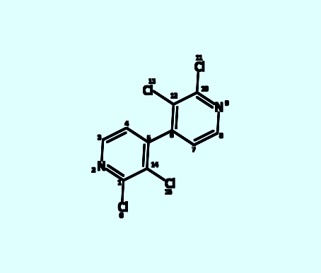 Clc1nccc(-c2ccnc(Cl)c2Cl)c1Cl